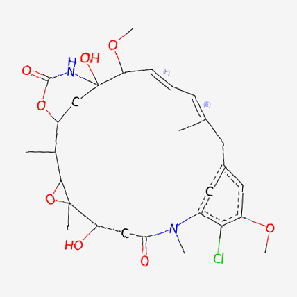 COc1cc2cc(c1Cl)N(C)C(=O)CC(O)C1(C)OC1C(C)C1CC(O)(NC(=O)O1)C(OC)/C=C/C=C(\C)C2